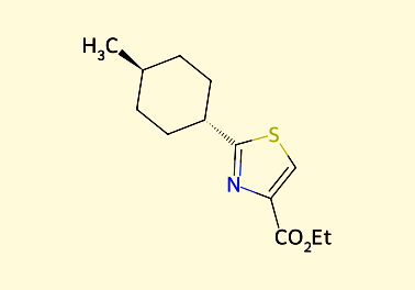 CCOC(=O)c1csc([C@H]2CC[C@H](C)CC2)n1